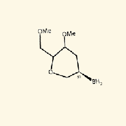 B[C@H]1COC(COC)C(OC)C1